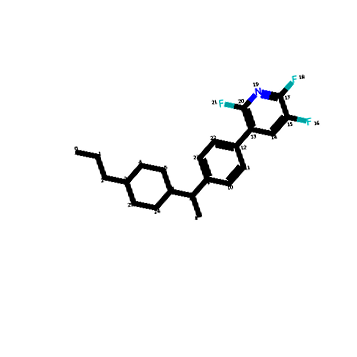 CCCC1CCC(C(C)c2ccc(-c3cc(F)c(F)nc3F)cc2)CC1